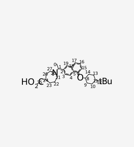 CC(c1ccc2c(OC3CCC(C(C)(C)C)CC3)cccc2c1)N1CCCC(C(=O)O)CC1